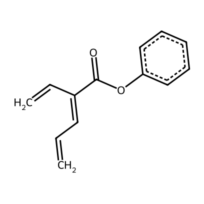 C=CC=C(C=C)C(=O)Oc1ccccc1